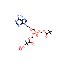 CC(C)(C)C(=O)OCOP(=O)(COCCn1cnc2c(N)ncnc21)OCOC(=O)C(C)(C)C.O.O